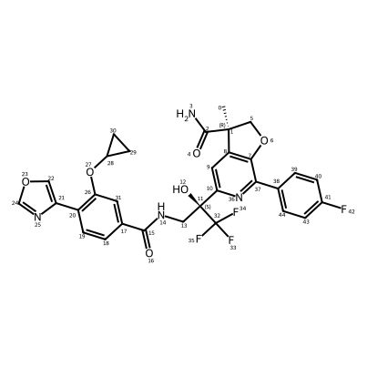 C[C@]1(C(N)=O)COc2c1cc([C@@](O)(CNC(=O)c1ccc(-c3cocn3)c(OC3CC3)c1)C(F)(F)F)nc2-c1ccc(F)cc1